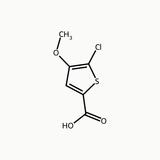 COc1cc(C(=O)O)sc1Cl